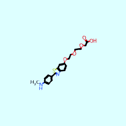 CNc1ccc(-c2nc3ccc(OCCOCCOCC(=O)O)cc3s2)cc1